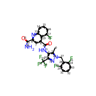 Cc1c(NC(=O)c2cc(C(N)=O)nc3cccc(F)c23)c(C(F)(F)F)nn1Cc1c(F)cccc1F